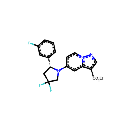 CCOC(=O)c1cnn2ccc(N3CC(F)(F)C[C@@H]3c3cccc(F)c3)cc12